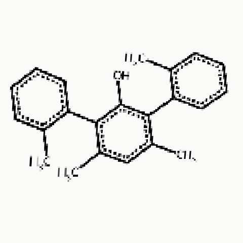 Cc1ccccc1-c1c(C)cc(C)c(-c2ccccc2C)c1O